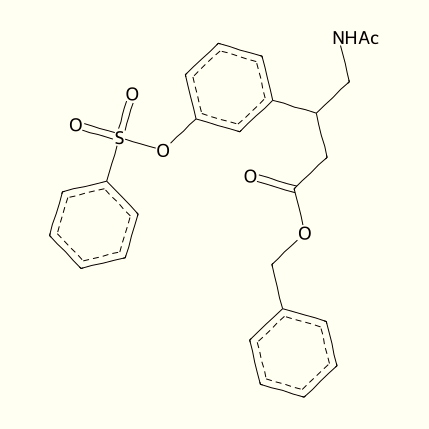 CC(=O)NCC(CC(=O)OCc1ccccc1)c1cccc(OS(=O)(=O)c2ccccc2)c1